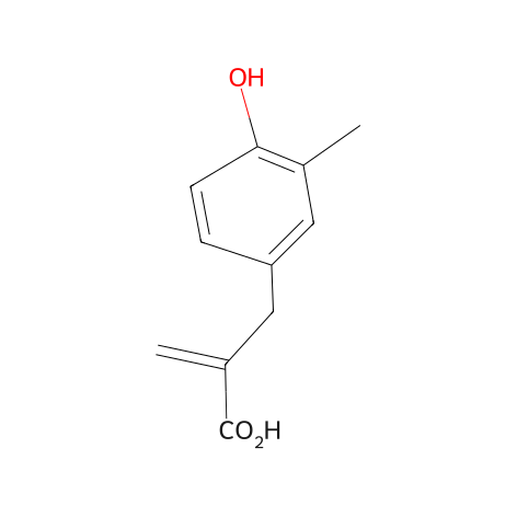 C=C(Cc1ccc(O)c(C)c1)C(=O)O